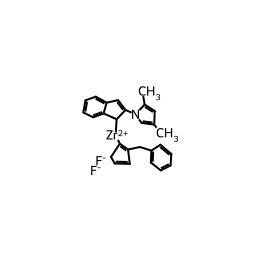 Cc1cc(C)n(C2=Cc3ccccc3[CH]2[Zr+2][C]2=C(Cc3ccccc3)C=CC2)c1.[F-].[F-]